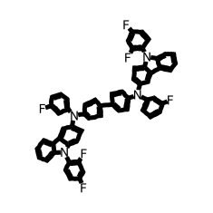 Fc1cccc(N(c2ccc(-c3ccc(N(c4cccc(F)c4)c4ccc5c(c4)c4ccccc4n5-c4ccc(F)cc4F)cc3)cc2)c2ccc3c(c2)c2ccccc2n3-c2ccc(F)cc2F)c1